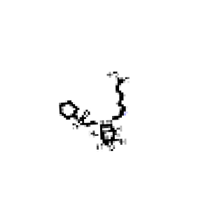 O=C(O)CCC/C=C\C[C@H]1[C@@H](CCS(=O)(=O)C2CCCCC2)[C@@H]2O[C@H]1[C@@H]1O[C@@H]12